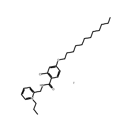 CCCCCCCCCCCCOc1ccc(C(=O)NCc2cccc[n+]2CCC)c(Cl)c1.[I-]